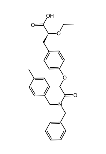 CCO[C@@H](Cc1ccc(OCC(=O)N(Cc2ccccc2)Cc2ccc(C)cc2)cc1)C(=O)O